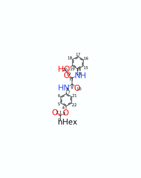 CCCCCCC(=O)Oc1ccc(NC(=O)C(=O)Nc2ccccc2O)cc1